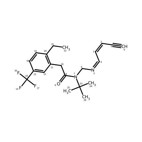 C#C/C=C\C=N/CN(C(=O)Cc1cc(C(F)(F)F)ccc1CC)C(C)(C)C